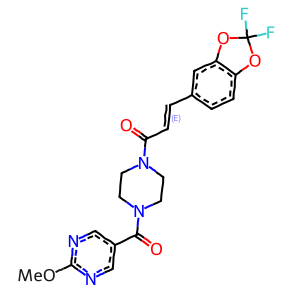 COc1ncc(C(=O)N2CCN(C(=O)/C=C/c3ccc4c(c3)OC(F)(F)O4)CC2)cn1